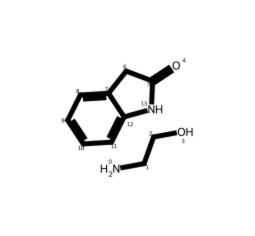 NCCO.O=C1Cc2ccccc2N1